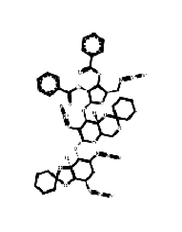 [N-]=[N+]=NC[C@H]1O[C@@H](O[C@@H]2C(N=[N+]=[N-])[C@@H](O[C@@H]3C(N=[N+]=[N-])C[C@@H](N=[N+]=[N-])C4OC5(CCCCC5)O[C@H]43)OC3COC4(CCCCC4)O[C@H]32)[C@@H](OC(=O)c2ccccc2)C1OC(=O)c1ccccc1